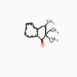 CC1c2ccccc2C(=O)C1(C)C